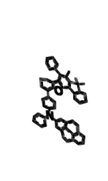 Cc1c2c(c3oc4c(-c5ccc(N(c6ccccc6)c6cc7ccc8cccc9ccc(c6)c7c89)cc5)cccc4c3c1-c1ccccc1)-c1ccccc1C2(C)C